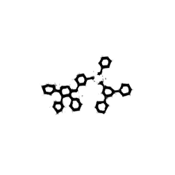 c1ccc(-c2cc(-c3ccccc3)cc(-c3nc(-c4ccccc4)nc(-c4cccc(-c5nc6ccccc6c6c(-c7ccccc7)c7c(cc56)oc5ccccc57)c4)n3)c2)cc1